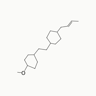 C/C=C/CC1CCC(CCC2CCC(OC)CC2)CC1